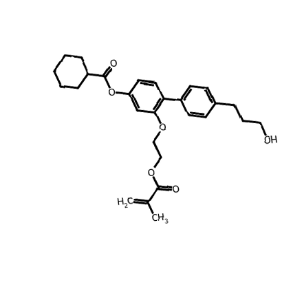 C=C(C)C(=O)OCCOc1cc(OC(=O)C2CCCCC2)ccc1-c1ccc(CCCO)cc1